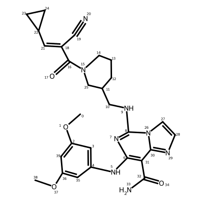 COc1cc(Nc2nc(NCC3CCCN(C(=O)C(C#N)=CC4CC4)C3)n3ccnc3c2C(N)=O)cc(OC)c1